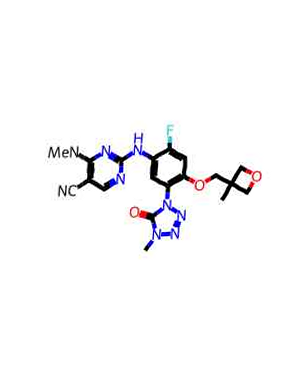 CNc1nc(Nc2cc(-n3nnn(C)c3=O)c(OCC3(C)COC3)cc2F)ncc1C#N